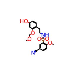 COCOc1cc(O)ccc1CCNS(=O)(=O)c1cc(C#N)ccc1OC